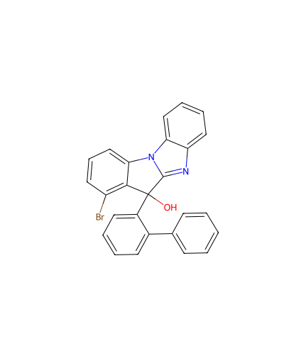 OC1(c2ccccc2-c2ccccc2)c2c(Br)cccc2-n2c1nc1ccccc12